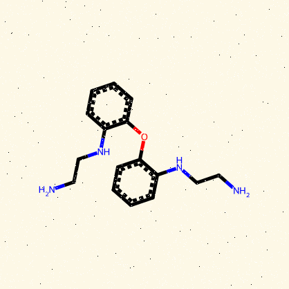 NCCNc1ccccc1Oc1ccccc1NCCN